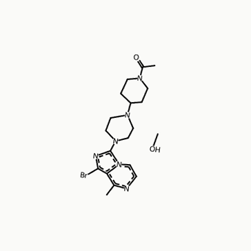 CC(=O)N1CCC(N2CCN(c3nc(Br)c4c(C)nccn34)CC2)CC1.CO